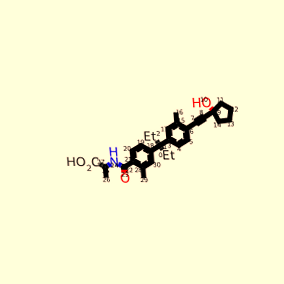 CCC(CC)(c1ccc(C#CC2(O)CCCC2)c(C)c1)c1ccc(C(=O)NC(C)C(=O)O)c(C)c1